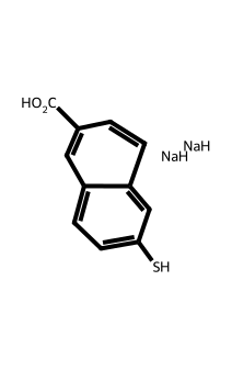 O=C(O)c1ccc2cc(S)ccc2c1.[NaH].[NaH]